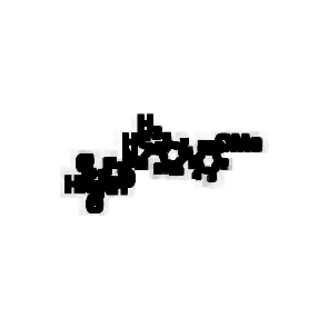 COc1cccc(-c2ccc(C(C)CNC(=O)CC3NC(=O)NC3=O)cc2)c1